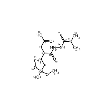 CO[Si](O)(CCC(CC(=O)O)C(=O)NNC(=S)N(C)C)OC